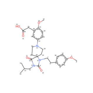 COc1ccc(CCN2C(=O)N(CC(C)C)C(=O)C23CCN(c2ccc(OC)c(CC(=O)O)c2)CC3)cc1